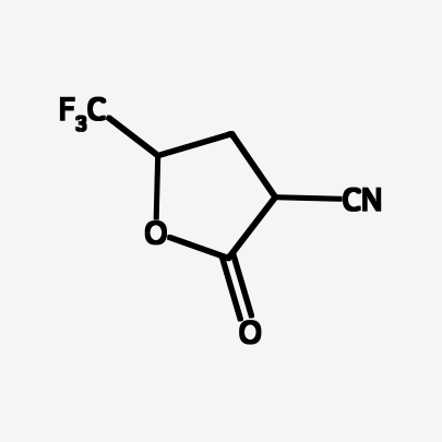 N#CC1CC(C(F)(F)F)OC1=O